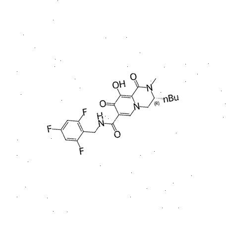 CCCC[C@@H]1Cn2cc(C(=O)NCc3c(F)cc(F)cc3F)c(=O)c(O)c2C(=O)N1C